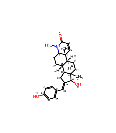 CN1C(=O)C=C[C@@]2(C)C1CC[C@@H]1[C@H]2CC[C@]2(C)C(O)C(=Cc3ccc(O)cc3)C[C@@H]12